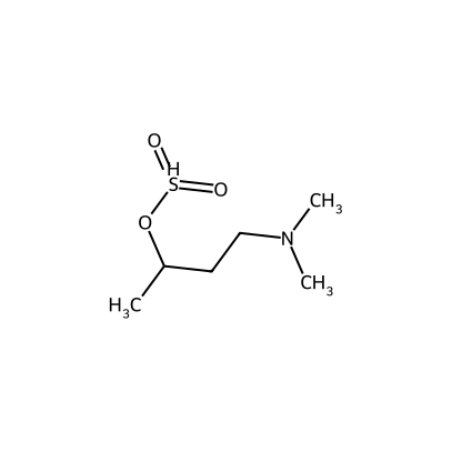 CC(CCN(C)C)O[SH](=O)=O